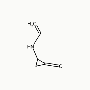 C=CNC1CC1=O